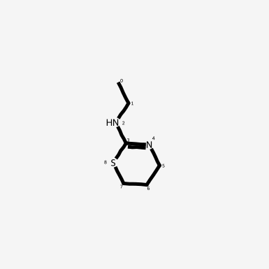 CCNC1=NCCCS1